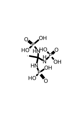 [CH2]C(NP(=O)(O)O)(NP(=O)(O)O)NP(=O)(O)O